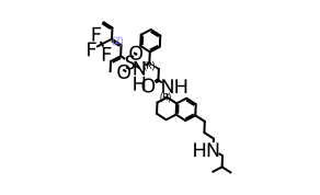 C=C/C(=C/C(=CC)S(=O)(=O)N[C@H](CC(=O)N[C@@H]1CCCc2cc(CCCNCC(C)C)ccc21)c1ccccc1)C(F)(F)F